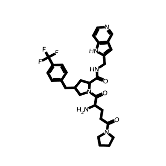 NC(CCC(=O)N1CCCC1)C(=O)N1CC(Cc2ccc(C(F)(F)F)cc2)CC1C(=O)NCc1cc2cnccc2[nH]1